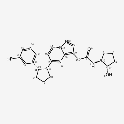 O=C(N[C@H]1CCC[C@@H]1O)Oc1cnn2ccc(N3CCC[C@@H]3c3cncc(F)c3)nc12